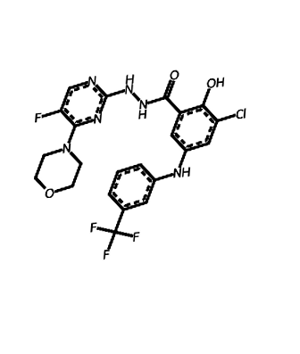 O=C(NNc1ncc(F)c(N2CCOCC2)n1)c1cc(Nc2cccc(C(F)(F)F)c2)cc(Cl)c1O